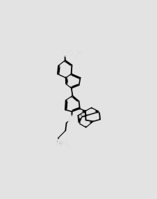 NCCCOc1ccc(-c2ccc3cc(C(=O)O)ccc3c2)cc1C12CC3CC(CC(C3)C1)C2